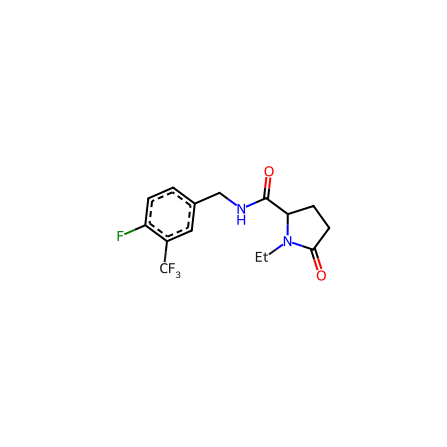 CCN1C(=O)CCC1C(=O)NCc1ccc(F)c(C(F)(F)F)c1